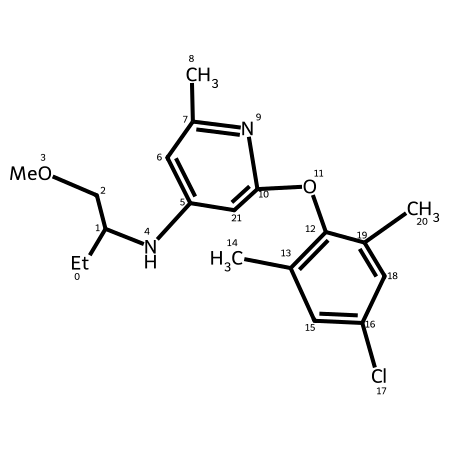 CCC(COC)Nc1cc(C)nc(Oc2c(C)cc(Cl)cc2C)c1